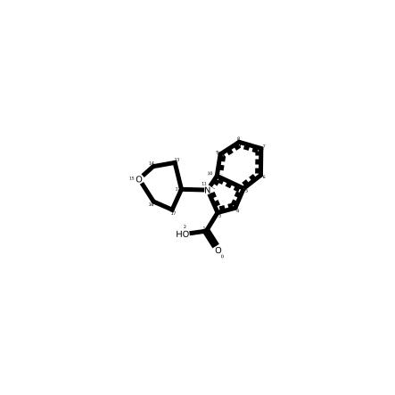 O=C(O)c1cc2ccccc2n1C1CCOCC1